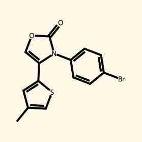 Cc1csc(-c2coc(=O)n2-c2ccc(Br)cc2)c1